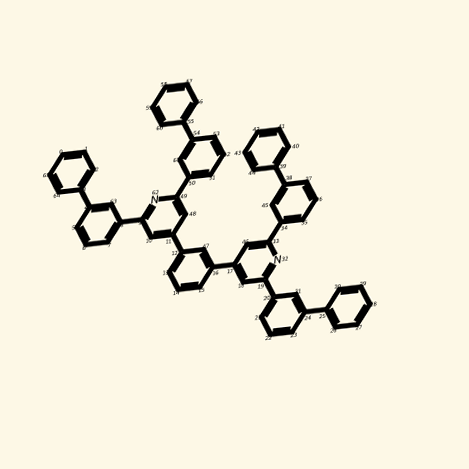 c1ccc(-c2cccc(-c3cc(-c4cccc(-c5cc(-c6cccc(-c7ccccc7)c6)nc(-c6cccc(-c7ccccc7)c6)c5)c4)cc(-c4cccc(-c5ccccc5)c4)n3)c2)cc1